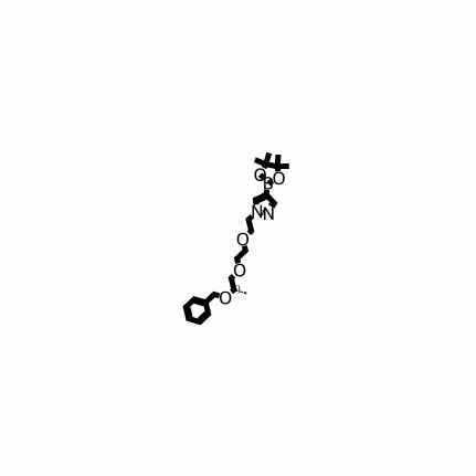 C[C@@H](COCCOCCn1cc(B2OC(C)(C)C(C)(C)O2)cn1)OCc1ccccc1